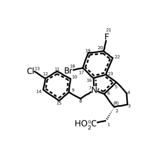 O=C(O)C[C@H]1CCc2c1n(Cc1ccc(Cl)cc1)c1c(Br)cc(F)cc21